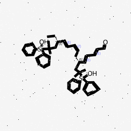 CC[C@H](/C=C/C=C\C[C@H](/C=C/C=C/C=O)CC(C)(C)[Si](O)(c1ccccc1)c1ccccc1)CC(C)(C)[Si](O)(c1ccccc1)c1ccccc1